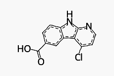 O=C(O)c1ccc2[nH]c3nccc(Cl)c3c2c1